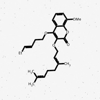 CC/C=C/CCOc1c(OC/C=C(\C)CCC=C(C)C)c(=O)oc2c(OC)cccc12